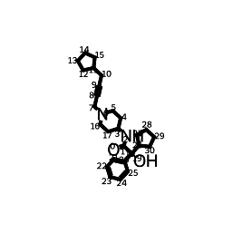 O=C(NC1CCN(CC#CCC2CCCC2)CC1)C(O)(c1ccccc1)C1CCCC1